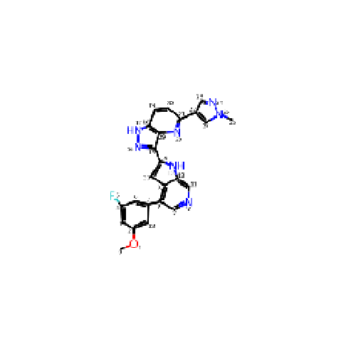 COc1cc(F)cc(-c2cncc3[nH]c(-c4n[nH]c5ccc(-c6cnn(C)c6)nc45)cc23)c1